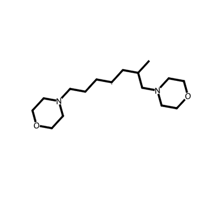 CC(C[CH]CCCN1CCOCC1)CN1CCOCC1